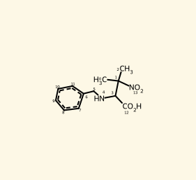 CC(C)(C(NCc1ccccc1)C(=O)O)[N+](=O)[O-]